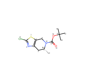 C[C@@H]1Cc2nc(Cl)sc2CN1C(=O)OC(C)(C)C